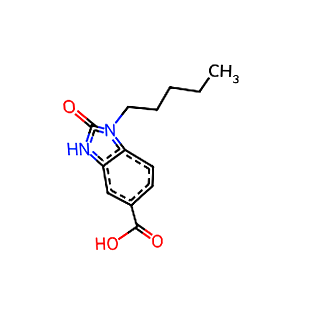 CCCCCn1c(=O)[nH]c2cc(C(=O)O)ccc21